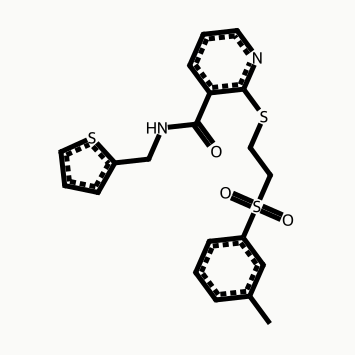 Cc1cccc(S(=O)(=O)CCSc2ncccc2C(=O)NCc2cccs2)c1